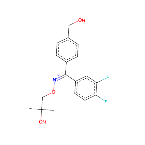 CC(C)(O)CO/N=C(/c1ccc(CO)cc1)c1ccc(F)c(F)c1